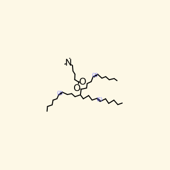 CCCCC/C=C\CCCC(CCC/C=C/CCCCC)C(CCC/C=C\CCCCC)OC(=O)CCCCN(C)C